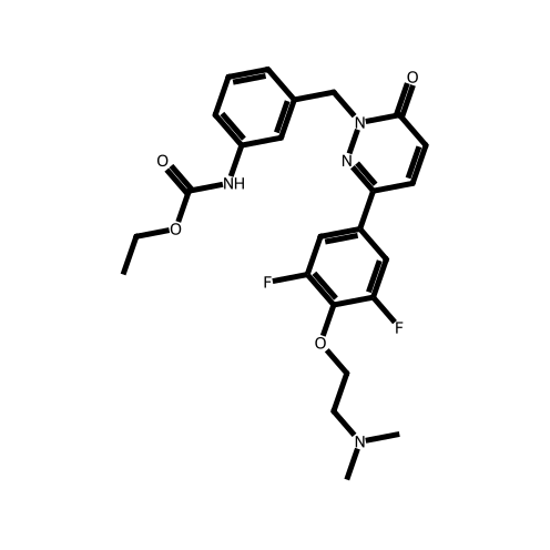 CCOC(=O)Nc1cccc(Cn2nc(-c3cc(F)c(OCCN(C)C)c(F)c3)ccc2=O)c1